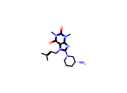 CC(C)=CCn1c(N2CCC[C@@H](N)C2)nc2c1c(=O)n(C)c(=O)n2C